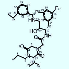 CCCN1C(=O)CN(CC(=O)N[C@@H](Cc2cc(F)cc(F)c2)[C@@H](O)CNCc2cccc(CC)c2)C(=O)[C@H]1C(C)C